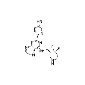 CNc1ccc(-c2cc3nccnc3c(NC[C@@H]3CNCCC3(F)F)n2)cc1